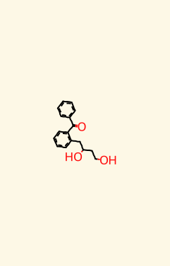 O=C(c1ccccc1)c1ccccc1CC(O)CCO